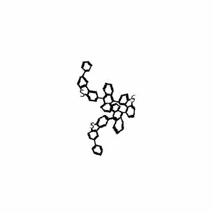 c1ccc(-c2ccc3sc4ccc(-c5c6ccccc6c(-c6ccc7sc8cccc(-c9c%10ccccc%10c(-c%10ccc%11sc%12ccc(-c%13ccccc%13)cc%12c%11c%10)c%10ccccc9%10)c8c7c6)c6ccccc56)cc4c3c2)cc1